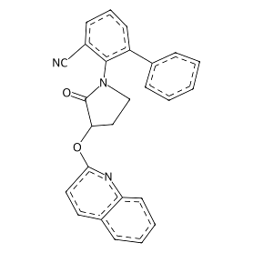 N#Cc1cccc(-c2ccccc2)c1N1CCC(Oc2ccc3ccccc3n2)C1=O